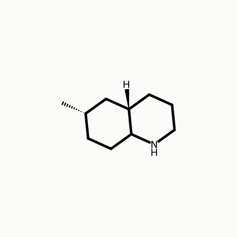 C[C@H]1CCC2NCCC[C@H]2C1